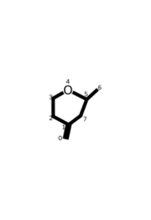 C=C1CCOC(C)C1